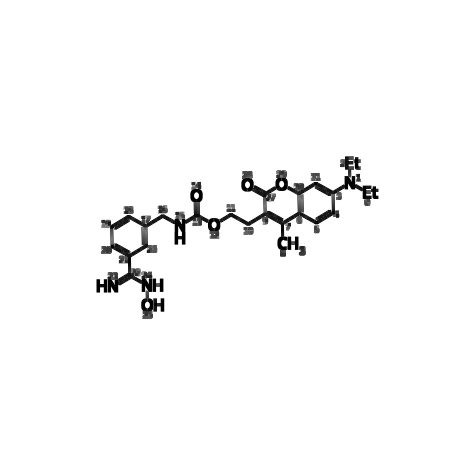 CCN(CC)c1ccc2c(C)c(CCOC(=O)NCc3cccc(C(=N)NO)c3)c(=O)oc2c1